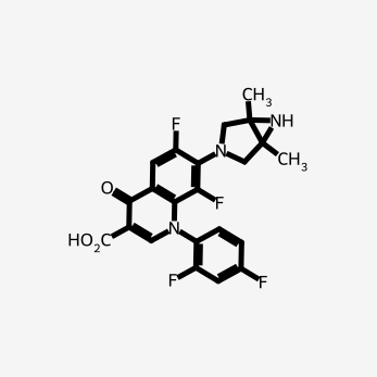 CC12CN(c3c(F)cc4c(=O)c(C(=O)O)cn(-c5ccc(F)cc5F)c4c3F)CC1(C)N2